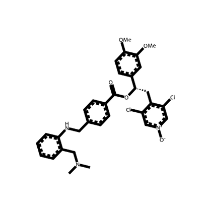 COc1ccc([C@H](Cc2c(Cl)c[n+]([O-])cc2Cl)OC(=O)c2ccc(CNc3ccccc3CN(C)C)cc2)cc1OC